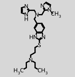 CCCN(CCC)CCCSc1nc2ccc(CN(Cc3ncc[nH]3)Cc3nccn3C)cc2[nH]1